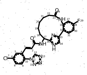 O=C(/C=C/c1cc(Cl)ccc1-n1cnnn1)NC1CCCCCC(=O)Nc2cc(F)ccc2-c2c[nH]c1n2